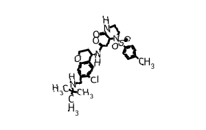 Cc1ccc(S(=O)(=O)N2CCNC(=O)C2CC(=O)N[C@@H]2CCOc3cc(CNC(C)(C)C)c(Cl)cc32)cc1